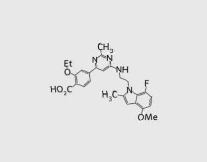 CCOc1cc(-c2cc(NCCn3c(C)cc4c(OC)ccc(F)c43)nc(C)n2)ccc1C(=O)O